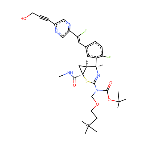 CNC(=O)[C@]12C[C@H]1[C@@](C)(c1cc(/C=C(\F)c3cnc(C#CCO)cn3)ccc1F)N=C(N(COCC[Si](C)(C)C)C(=O)OC(C)(C)C)S2